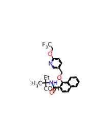 CCC(C)(NC(=O)c1ccc2ccccc2c1OCc1ccc(OCC(F)(F)F)nc1)C(=O)O